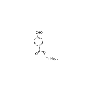 CCCCCCCCOC(=O)c1ccc(C=O)cc1